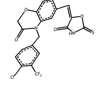 O=C1NC(=S)OC1=Cc1ccc2c(c1)N(Cc1ccc(Cl)c(C(F)(F)F)c1)C(=O)CO2